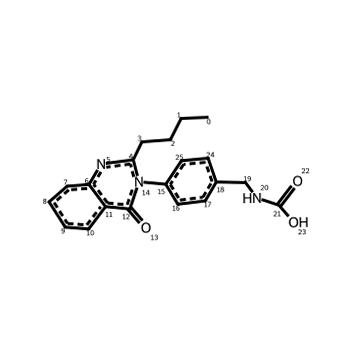 CCCCc1nc2ccccc2c(=O)n1-c1ccc(CNC(=O)O)cc1